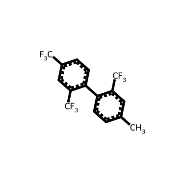 Cc1ccc(-c2ccc(C(F)(F)F)cc2C(F)(F)F)c(C(F)(F)F)c1